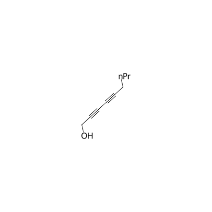 CCCCC#CC#CCO